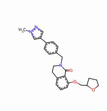 Cn1cc(-c2ccc(CN3CCc4cccc(OCC5CCCO5)c4C3=O)cc2)cn1